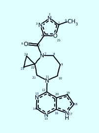 Cc1nnc(C(=O)N2CCCN(c3ncnc4[nH]ccc34)CC23CC3)o1